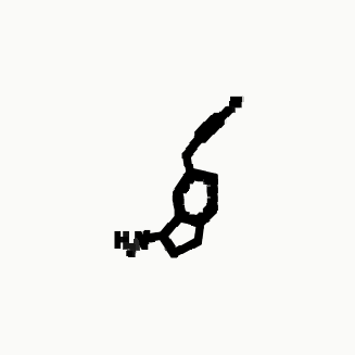 NC1CCc2ccc(CC#CF)cc21